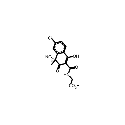 C[C@]1(C#N)C(=O)C(C(=O)NCC(=O)O)=C(O)c2ccc(Cl)cc21